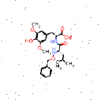 COc1cc(C[C@H](NC(=O)[C@H](CC(C)C)NOCc2ccccc2)C(=O)O)cc(OC)c1O